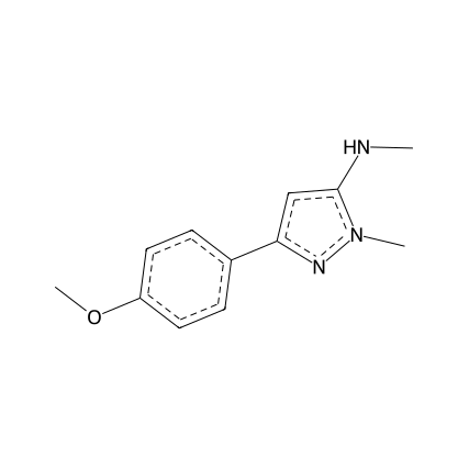 CNc1cc(-c2ccc(OC)cc2)nn1C